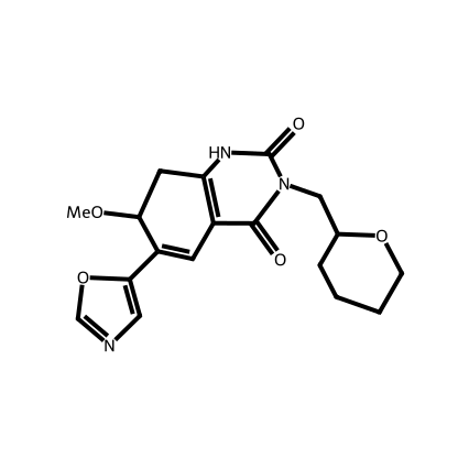 COC1Cc2[nH]c(=O)n(CC3CCCCO3)c(=O)c2C=C1c1cnco1